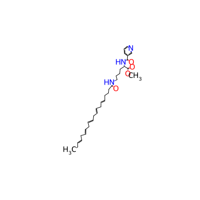 CCC=CCC=CCC=CCC=CCC=CCCCC(=O)NCCCCC(NC(=O)c1cccnc1)C(=O)OC